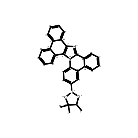 CC1OB(c2ccc3c(c2)c2ccccc2c2nc4c5ccccc5c5ccccc5c4n32)OC1(C)C